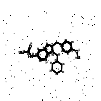 CCOc1ccc(Cc2cc3cc(NC(=O)C(C)(C)C)cnc3n2CC2CCCCC2)cc1